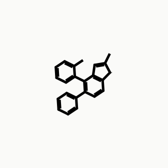 CC1=Cc2c(ccc(-c3ccccc3)c2-c2ccccc2C)[CH]1